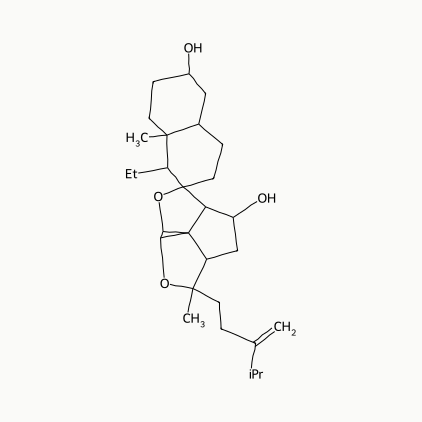 C=C(CCC1(C)OC2C3OC4(CCC5CC(O)CCC5(C)C4CC)C4C(O)CC1C234)C(C)C